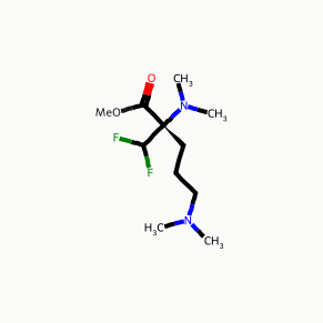 COC(=O)[C@@](CCCN(C)C)(C(F)F)N(C)C